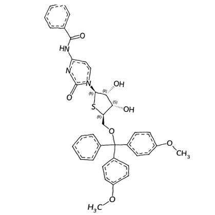 COc1ccc(C(OC[C@H]2S[C@@H](n3ccc(NC(=O)c4ccccc4)nc3=O)[C@H](O)[C@@H]2O)(c2ccccc2)c2ccc(OC)cc2)cc1